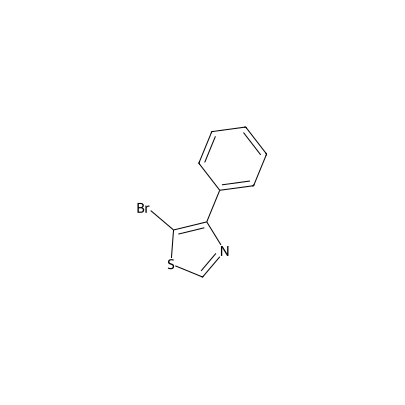 Brc1scnc1-c1ccccc1